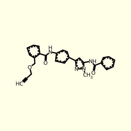 C#CCOCc1ccccc1C(=O)Nc1ccc(-c2cc(NC(=O)c3ccccc3)n(C)n2)cc1